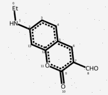 CCNc1ccc2cc(C=O)c(=O)oc2c1